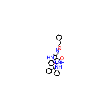 O=c1[nH]c(NC(c2ccccc2)(c2ccccc2)c2ccccc2)nc2[nH]cc(C=NOCCc3ccccc3)c12